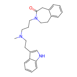 CN(CCCN1CCc2ccccc2CC1=O)CCc1c[nH]c2ccccc12